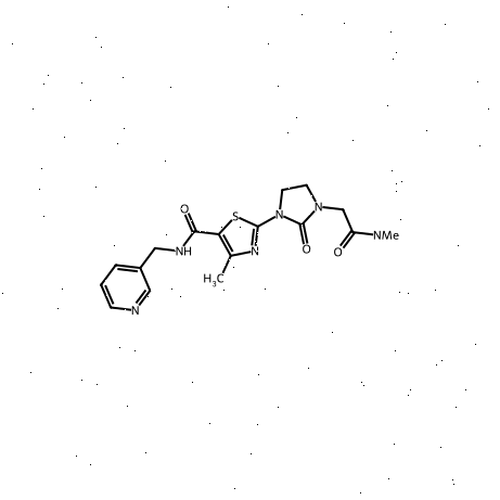 CNC(=O)CN1CCN(c2nc(C)c(C(=O)NCc3cccnc3)s2)C1=O